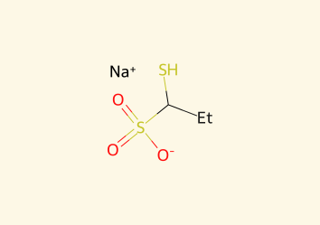 CCC(S)S(=O)(=O)[O-].[Na+]